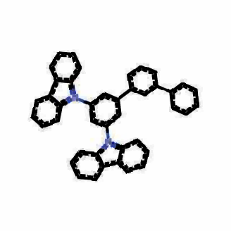 c1ccc(-c2cccc(-c3cc(-n4c5ccccc5c5ccccc54)cc(-n4c5ccccc5c5ccccc54)c3)c2)cc1